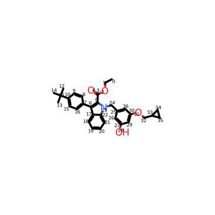 CCOC(=O)c1c(-c2ccc(C(C)(C)C)cc2)c2ccccc2n1Cc1cc(O)cc(OCC2CC2)c1